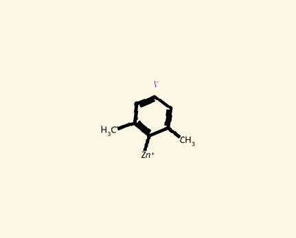 Cc1cccc(C)[c]1[Zn+].[I-]